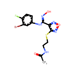 O=C(NCCSc1nonc1/C(=N\O)Nc1ccc(F)c(Br)c1)C(F)(F)F